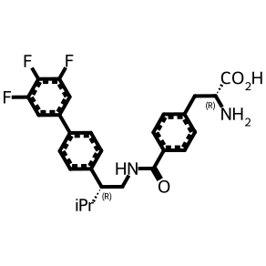 CC(C)[C@@H](CNC(=O)c1ccc(C[C@@H](N)C(=O)O)cc1)c1ccc(-c2cc(F)c(F)c(F)c2)cc1